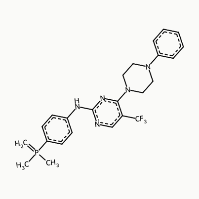 C=P(C)(C)c1ccc(Nc2ncc(C(F)(F)F)c(N3CCN(c4ccccc4)CC3)n2)cc1